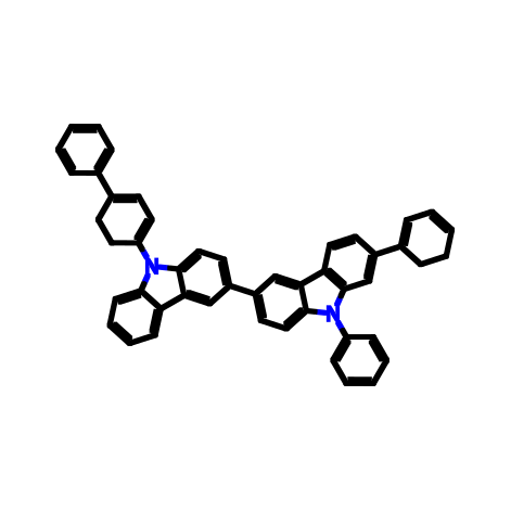 C1=CCCC(c2ccc3c4cc(-c5ccc6c(c5)c5ccccc5n6C5=CC=C(c6ccccc6)CC5)ccc4n(-c4ccccc4)c3c2)=C1